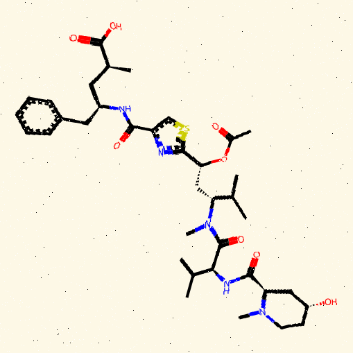 CC(=O)O[C@H](C[C@H](C(C)C)N(C)C(=O)[C@@H](NC(=O)[C@H]1C[C@H](O)CCN1C)C(C)C)c1nc(C(=O)N[C@@H](Cc2ccccc2)C[C@H](C)C(=O)O)cs1